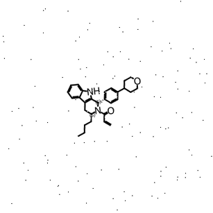 C=CC(=O)N1[C@@H](CCCC)Cc2c([nH]c3ccccc23)[C@@H]1c1ccc(C2CCOCC2)cc1